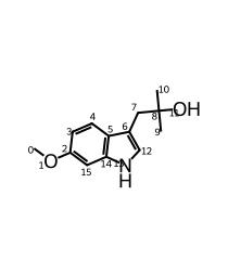 COc1ccc2c(CC(C)(C)O)c[nH]c2c1